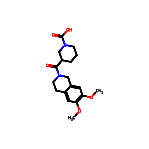 COc1cc2c(cc1OC)CN(C(=O)C1CCCN(C(=O)O)C1)CC2